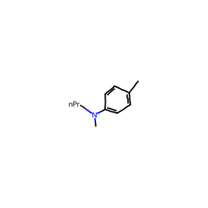 CCCN(C)c1ccc(C)cc1